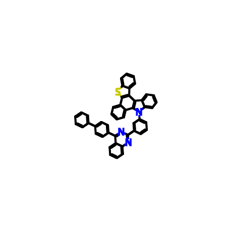 c1ccc(-c2ccc(-c3nc(-c4cccc(-n5c6ccccc6c6c7c8ccccc8sc7c7ccccc7c65)c4)nc4ccccc34)cc2)cc1